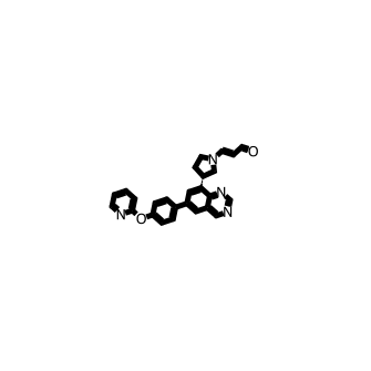 O=CC=CN1CC[C@@H](c2cc(-c3ccc(Oc4ccccn4)cc3)cc3cncnc23)C1